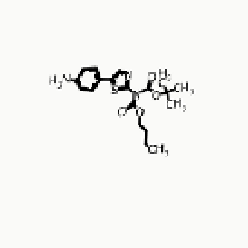 CCCCOC(=O)N(C(=O)OC(C)(C)C)c1ncc(-c2ccc(N)cc2)s1